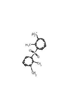 Cc1cccc(S(=O)(=O)c2cccc(C)c2C)c1C